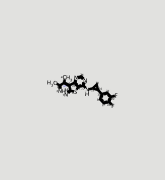 CC(=N)/C(C)=C1\C(=N)Sc2c(NC3CC3c3ccc(F)c(F)c3)ncnc21